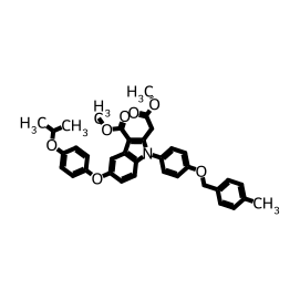 COC(=O)Cc1c(C(=O)OC)c2cc(Oc3ccc(OC(C)C)cc3)ccc2n1-c1ccc(OCc2ccc(C)cc2)cc1